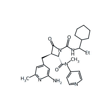 CCC(NC(=O)N1C(=O)[C@H](Cc2cc(C)nc(N)c2)[C@H]1C(=O)N(C)c1ccncc1)C1CCCCC1